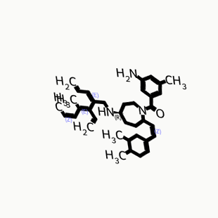 C=C\C=C(CN[C@@H]1CCC(/C=C\C2=CCC(C)C(C)C2)N(C(=O)c2cc(C)cc(N)c2)CC1)/C(C=C)=C(C)/C=C\C